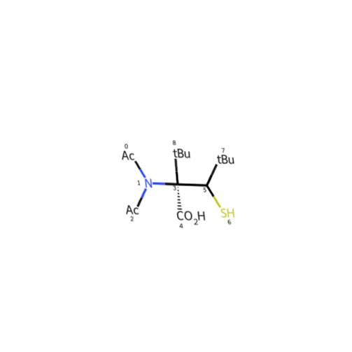 CC(=O)N(C(C)=O)[C@](C(=O)O)(C(S)C(C)(C)C)C(C)(C)C